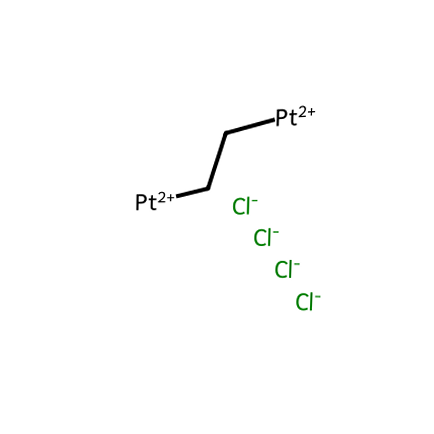 [Cl-].[Cl-].[Cl-].[Cl-].[Pt+2][CH2][CH2][Pt+2]